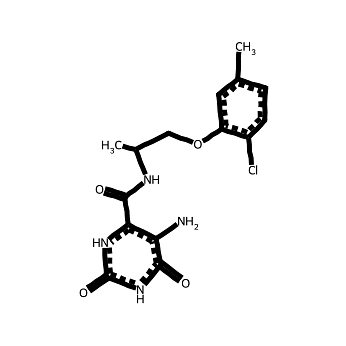 Cc1ccc(Cl)c(OCC(C)NC(=O)c2[nH]c(=O)[nH]c(=O)c2N)c1